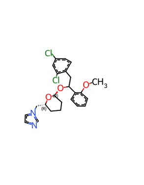 COc1ccccc1C(Cc1ccc(Cl)cc1Cl)O[C@H]1CCC[C@H](Cn2ccnc2)O1